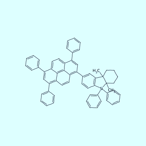 CC12CCCCC1(C)[Si](c1ccccc1)(c1ccccc1)c1ccc(-c3cc(-c4ccccc4)c4ccc5c(-c6ccccc6)cc(-c6ccccc6)c6ccc3c4c56)cc12